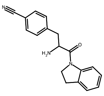 N#Cc1ccc(CC(N)C(=O)N2CCc3ccccc32)cc1